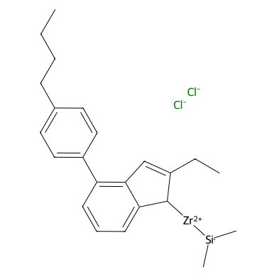 CCCCc1ccc(-c2cccc3c2C=C(CC)[CH]3[Zr+2][Si](C)C)cc1.[Cl-].[Cl-]